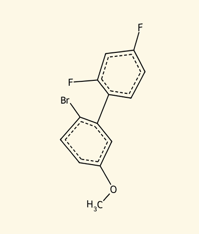 COc1ccc(Br)c(-c2ccc(F)cc2F)c1